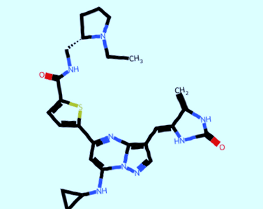 C=c1[nH]c(=O)[nH]/c1=C\c1cnn2c(NC3CC3)cc(-c3ccc(C(=O)NC[C@@H]4CCCN4CC)s3)nc12